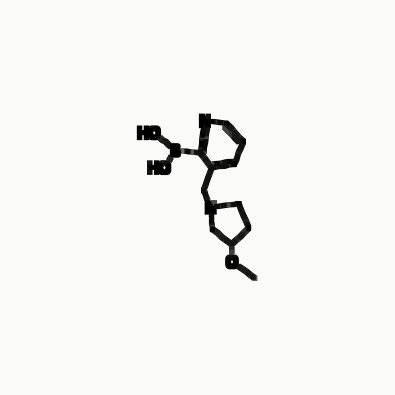 COC1CCN(Cc2cccnc2B(O)O)C1